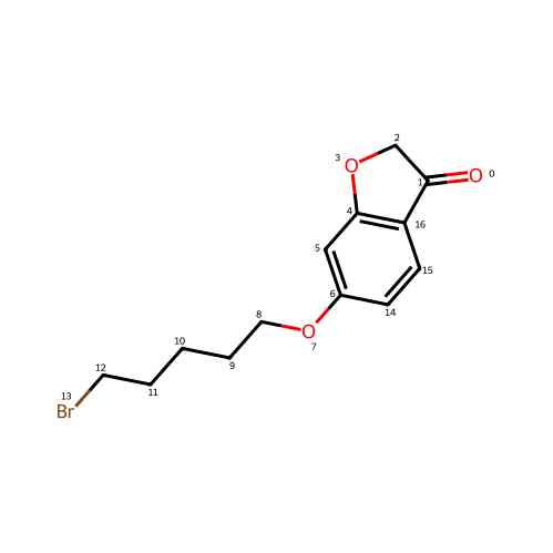 O=C1COc2cc(OCCCCCBr)ccc21